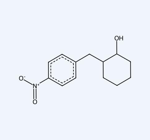 O=[N+]([O-])c1ccc(CC2CCCCC2O)cc1